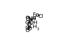 Cc1oc(=O)oc1COC(=O)[C@H](O)CN(Cc1ccc(-c2cc(Cl)ccc2F)cc1)NC1CCCCO1